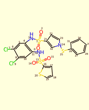 O=S(=O)(Nc1cc(Cl)c(Cl)cc1NS(=O)(=O)c1cccs1)c1ccn(Sc2ccccc2)c1